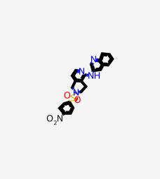 O=[N+]([O-])c1ccc(S(=O)(=O)N2CCc3c(ccnc3Nc3cnc4ccccc4c3)C2)cc1